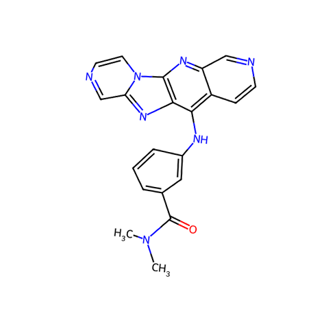 CN(C)C(=O)c1cccc(Nc2c3ccncc3nc3c2nc2cnccn23)c1